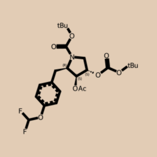 CC(=O)O[C@@H]1[C@@H](OC(=O)OC(C)(C)C)CN(C(=O)OC(C)(C)C)[C@@H]1Cc1ccc(OC(F)F)cc1